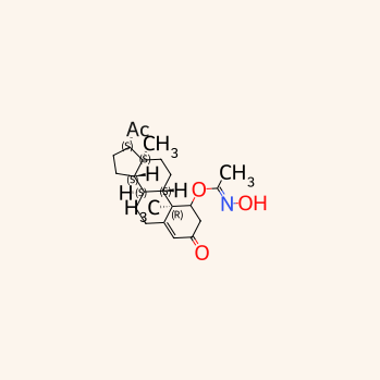 CC(=O)[C@H]1CC[C@H]2[C@@H]3CCC4=CC(=O)CC(OC(C)=NO)[C@]4(C)[C@H]3CC[C@]12C